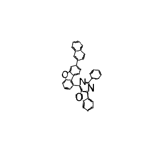 c1ccc(-c2nc(-c3cccc4oc5cc(-c6ccc7ccccc7c6)ccc5c34)c3oc4ccccc4c3n2)cc1